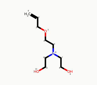 C=CCOCCN(CCO)CCO